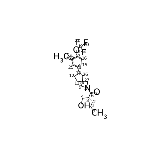 CCC[C@H](CO)C(=O)N1CC2(CCC(c3ccc(OC(F)(F)F)c(C)c3)C2)C1